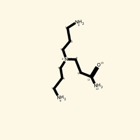 NCCCN(CCCN)CCC(N)=O